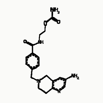 NC(=O)OCCNC(=O)c1ccc(CN2CCc3ncc(N)cc3C2)cc1